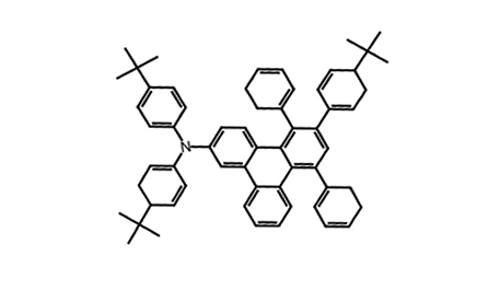 CC(C)(C)c1ccc(N(C2=CCC(C(C)(C)C)C=C2)c2ccc3c(c2)c2ccccc2c2c(C4=CC=CCC4)cc(C4=CCC(C(C)(C)C)C=C4)c(C4=CC=CCC4)c32)cc1